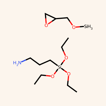 CCO[Si](CCCN)(OCC)OCC.[SiH3]OCC1CO1